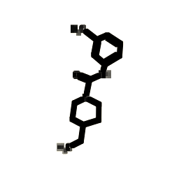 CCC1CCN(C(=O)Nc2cccc(C)c2)CC1